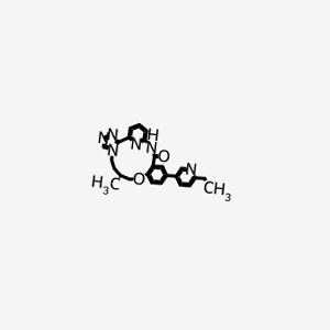 CCc1ccc(-c2ccc3c(c2)C(=O)Nc2cccc(n2)-c2nncn2CC[C@@H](C)CO3)cn1